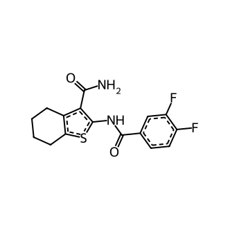 NC(=O)c1c(NC(=O)c2ccc(F)c(F)c2)sc2c1CCCC2